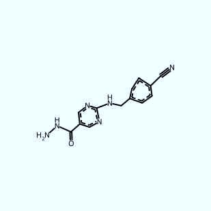 N#Cc1ccc(CNc2ncc(C(=O)NN)cn2)cc1